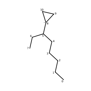 CCCCCC(CC)[C]1CC1